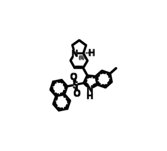 Cc1ccc2[nH]c(S(=O)(=O)c3cccc4ccccc34)c(C3=CCN4CCC[C@H]4C3)c2c1